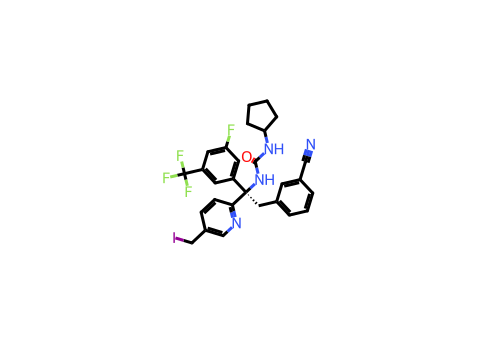 N#Cc1cccc(C[C@@](NC(=O)NC2CCCC2)(c2cc(F)cc(C(F)(F)F)c2)c2ccc(CI)cn2)c1